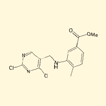 COC(=O)c1ccc(C)c(NCc2cnc(Cl)nc2Cl)c1